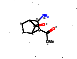 COC(=O)C1C2CCC(C2=O)C1N